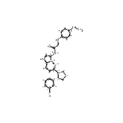 COc1ccc(OCC(=O)Nc2cnc3ccc(N4CCC[C@@H]4c4cccc(F)c4)nn23)cc1